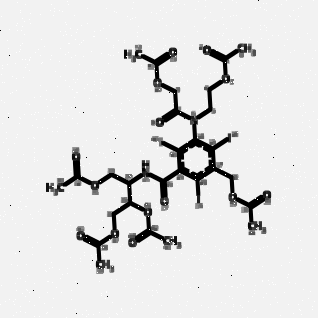 CC(=O)OCCN(C(=O)COC(C)=O)c1c(I)c(COC(C)=O)c(I)c(C(=O)NC(COC(C)=O)C(COC(C)=O)OC(C)=O)c1I